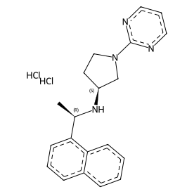 C[C@@H](N[C@H]1CCN(c2ncccn2)C1)c1cccc2ccccc12.Cl.Cl